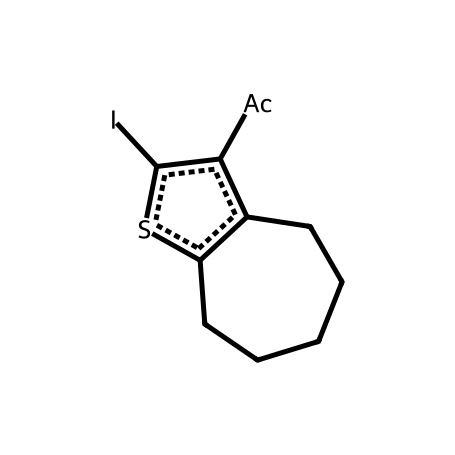 CC(=O)c1c(I)sc2c1CCCCC2